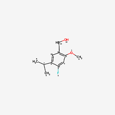 COc1cc(F)c(C(C)C)cc1BO